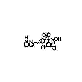 COC(=O)N(C1CCN(CCc2ccc3c(n2)NCCC3)CC1)[C@@H](CC(=O)O)c1cc(Cl)cc(Cl)c1